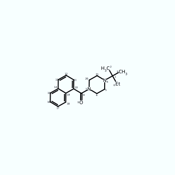 CCC(C)(C)N1CCN(C(=O)c2cccc3ccccc23)CC1